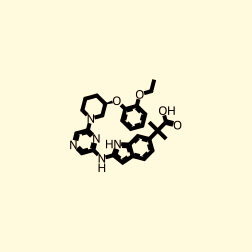 CCOc1ccccc1O[C@@H]1CCCN(c2cncc(Nc3cc4ccc(C(C)(C)C(=O)O)cc4[nH]3)n2)C1